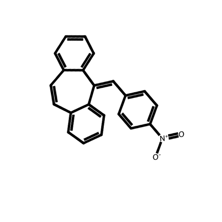 O=[N+]([O-])c1ccc(C=C2c3ccccc3C=Cc3ccccc32)cc1